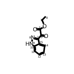 CCOC(=O)C(=O)c1n[nH]c2ccccc12